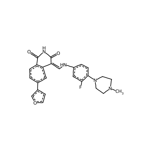 CN1CCN(c2ccc(NC=C3C(=O)NC(=O)c4ccc(-c5ccoc5)cc43)cc2F)CC1